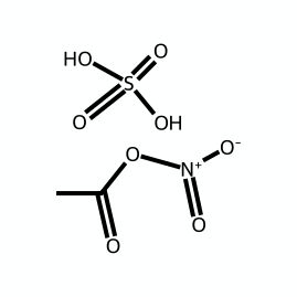 CC(=O)O[N+](=O)[O-].O=S(=O)(O)O